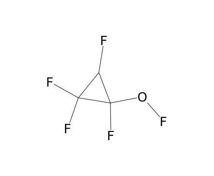 FOC1(F)C(F)C1(F)F